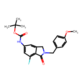 COc1ccc(CN2Cc3cc(NC(=O)OC(C)(C)C)cc(F)c3C2=O)cc1